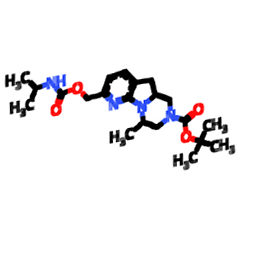 CC(C)NC(=O)OCc1ccc2c(n1)N1C(C)CN(C(=O)OC(C)(C)C)CC1C2